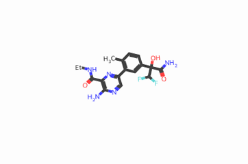 CCNC(=O)c1nc(-c2cc(C(O)(C(N)=O)C(F)F)ccc2C)cnc1N